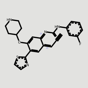 C#C/C=C1/C=C(c2nccs2)C(OC2CCNCC2)=C/C1=N/C(=C)Nc1cccc(F)c1